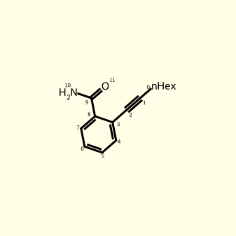 CCCCCCC#Cc1ccccc1C(N)=O